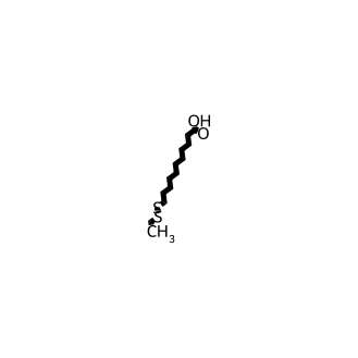 CCSSCCCCCCCCCCC(=O)O